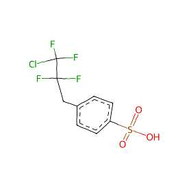 O=S(=O)(O)c1ccc(CC(F)(F)C(F)(F)Cl)cc1